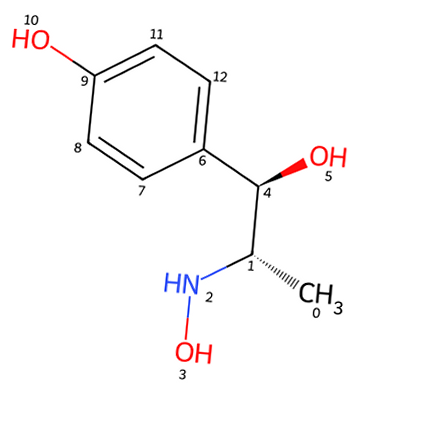 C[C@H](NO)[C@H](O)c1ccc(O)cc1